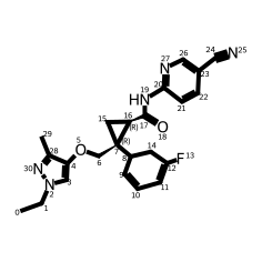 CCn1cc(OC[C@@]2(C3C=CC=C(F)C3)C[C@H]2C(=O)Nc2ccc(C#N)cn2)c(C)n1